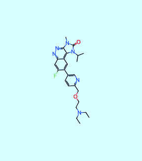 CCN(CC)CCOCc1ccc(-c2cc3c(cc2F)nnc2c3n(C(C)C)c(=O)n2C)cn1